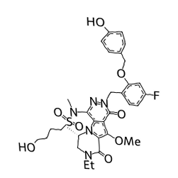 CCN1C[C@H](C)n2c(c(OC)c3c(=O)n(Cc4ccc(F)cc4OCc4ccc(O)cc4)nc(N(C)S(=O)(=O)CCCCO)c32)C1=O